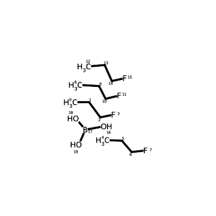 CCCF.CCCF.CCCF.CCCF.OB(O)O